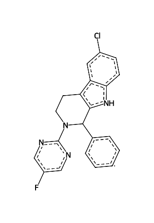 Fc1cnc(N2CCc3c([nH]c4ccc(Cl)cc34)C2c2cc[c]cc2)nc1